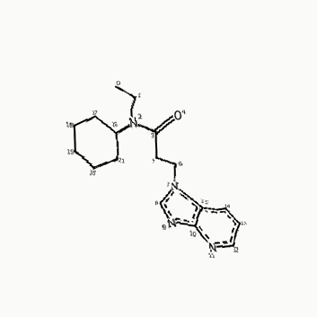 CCN(C(=O)CCn1cnc2ncccc21)C1CCCCC1